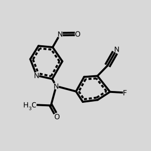 CC(=O)N(c1ccc(F)c(C#N)c1)c1cc(N=O)ccn1